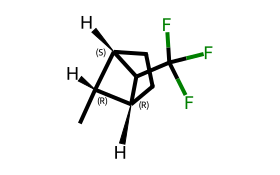 C[C@@H]1[C@@H]2CC[C@H]1C2C(F)(F)F